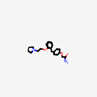 NC(=O)COc1ccc(Cc2[c]cccc2OCCN2CCCC2)cc1